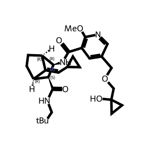 COc1ncc(COCC2(O)CC2)cc1C(=O)N[C@H]1[C@@H](C(=O)NCC(C)(C)C)[C@H]2CC[C@@H]1/C2=C\C1CC1